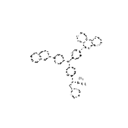 CC1(C)C(c2ccc(N(c3ccc(-c4ccc5ccccc5c4)cc3)c3ccc(-c4cc5ccccc5c5ccccc45)cc3)cc2)=Cc2ccccc21